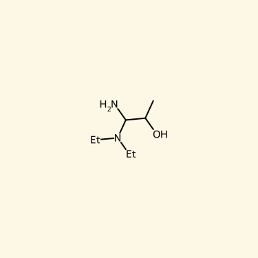 CCN(CC)C(N)C(C)O